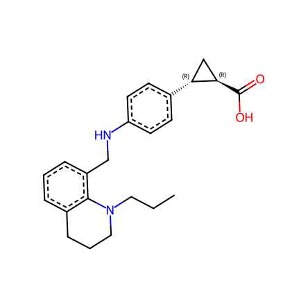 CCCN1CCCc2cccc(CNc3ccc([C@@H]4C[C@H]4C(=O)O)cc3)c21